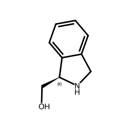 OC[C@@H]1NCc2ccccc21